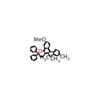 COc1ccc2c3c(c4c(c2c1)OC(c1ccccc1)(c1ccccc1)C=C4)C(C)(C)c1cc(C)ccc1-3